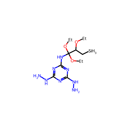 CCOC(C[SiH3])C(Nc1nc(NN)nc(NN)n1)(OCC)OCC